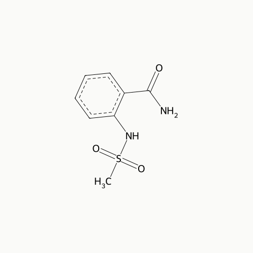 CS(=O)(=O)Nc1ccccc1C(N)=O